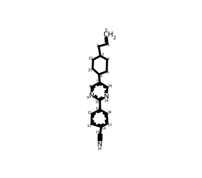 C=CCC1CCC(c2cnc(-c3ccc(C#N)cc3)nc2)CC1